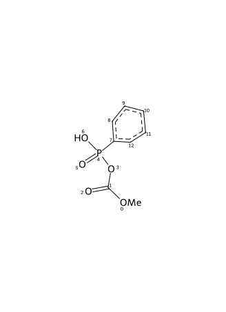 COC(=O)OP(=O)(O)c1ccccc1